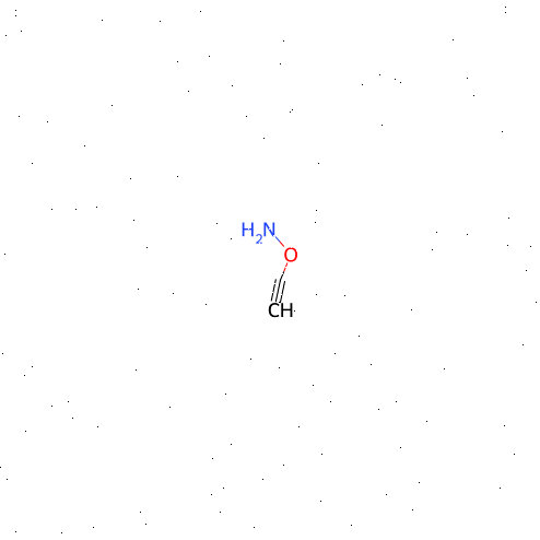 C#CON